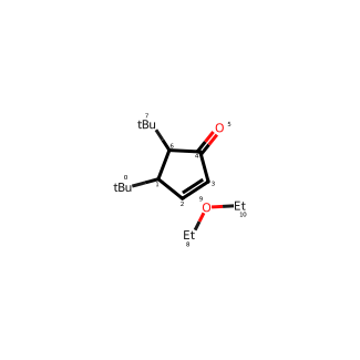 CC(C)(C)C1C=CC(=O)C1C(C)(C)C.CCOCC